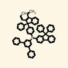 C=CC1=C(/C=C\C)C(c2ccccc2)(c2ccc(N(c3cc(-c4ccccc4)cc(-c4ccccc4)c3)c3ccc4c(c3)C(c3ccccc3)(c3ccccc3)c3ccccc3-4)cc2)c2ccccc21